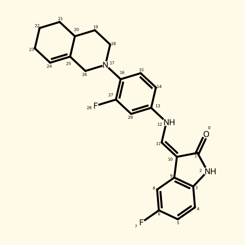 O=C1Nc2ccc(F)cc2C1=CNc1ccc(N2CCC3CCCC=C3C2)c(F)c1